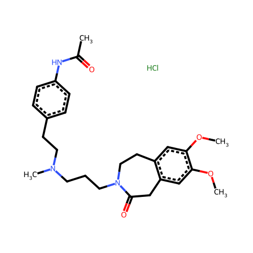 COc1cc2c(cc1OC)CC(=O)N(CCCN(C)CCc1ccc(NC(C)=O)cc1)CC2.Cl